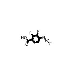 [N-]=[N+]=Nc1ccc(C(=O)O)c(F)c1F